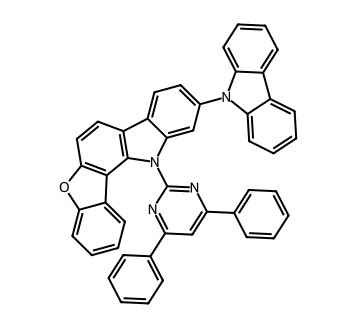 c1ccc(-c2cc(-c3ccccc3)nc(-n3c4cc(-n5c6ccccc6c6ccccc65)ccc4c4ccc5oc6ccccc6c5c43)n2)cc1